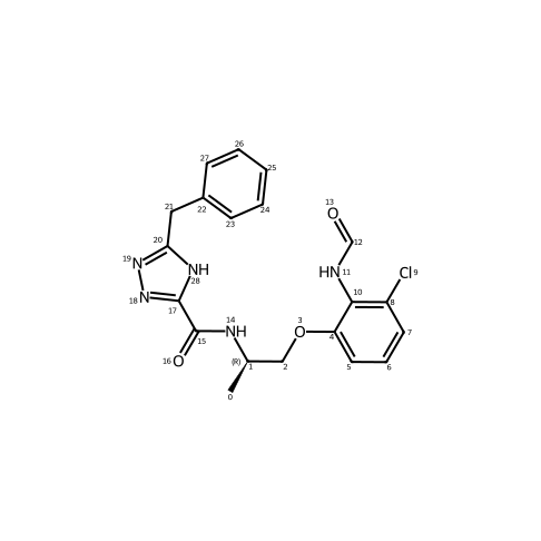 C[C@H](COc1cccc(Cl)c1NC=O)NC(=O)c1nnc(Cc2ccccc2)[nH]1